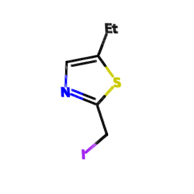 CCc1cnc(CI)s1